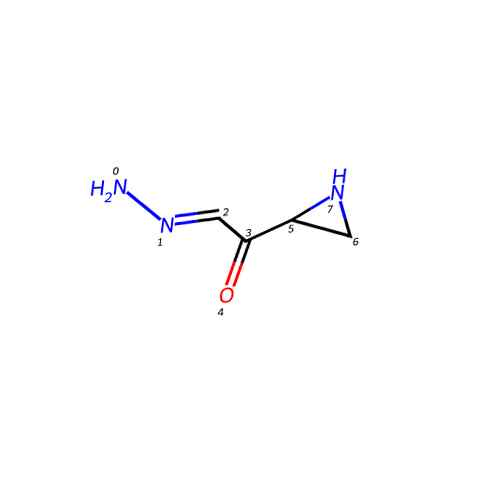 N/N=C/C(=O)C1CN1